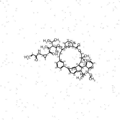 C=CC(=O)N[C@@H]1C[C@@H]1C(=O)N(C)[C@H](C(=O)N[C@H]1Cc2cccc(c2)-c2ccc3c(c2)c(c(-c2cccnc2[C@H](C)OC)n3CC)CC(C)(C)COC(=O)[C@@H]2CCCN(N2)C1=O)C(C)C